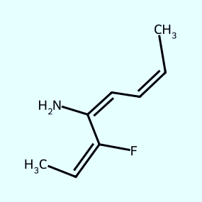 C\C=C/C=C(N)\C(F)=C/C